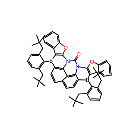 CC(C)(C)Cc1cccc(CC(C)(C)C)c1B1c2ccc3ccc4c5c3c2N(C(=O)N5c2oc3ccccc3c2B4c2c(CC(C)(C)C)cccc2CC(C)(C)C)c2oc3ccccc3c21